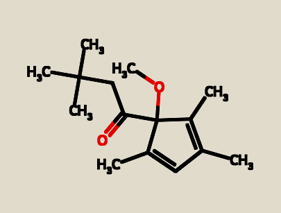 COC1(C(=O)CC(C)(C)C)C(C)=CC(C)=C1C